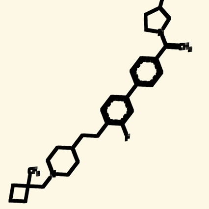 C=C(c1ccc(-c2ccc(CCC3CCN(CC4(C(F)(F)F)CCC4)CC3)c(F)c2)cc1)N1CCC(C)C1